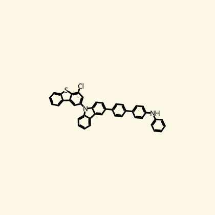 Clc1cc(-n2c3ccccc3c3cc(-c4ccc(-c5ccc(Nc6ccccc6)cc5)cc4)ccc32)cc2c1sc1ccccc12